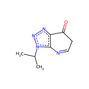 CC(C)n1nnc2c1N=CCC2=O